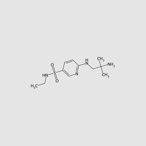 CCNS(=O)(=O)c1ccc(NCC(C)(C)N)nc1